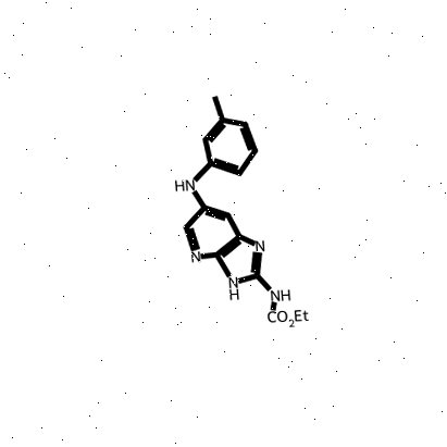 CCOC(=O)Nc1nc2cc(Nc3cccc(C)c3)cnc2[nH]1